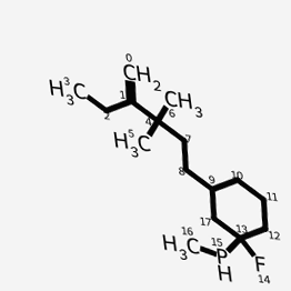 C=C(CC)C(C)(C)CCC1CCCC(F)(PC)C1